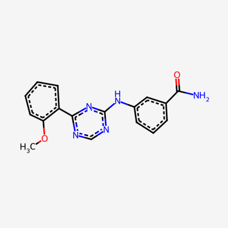 COc1ccccc1-c1ncnc(Nc2cccc(C(N)=O)c2)n1